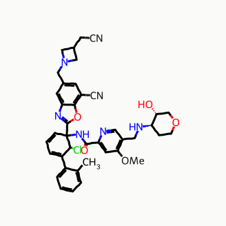 COc1cc(C(=O)NC2(c3nc4cc(CN5CC(CC#N)C5)cc(C#N)c4o3)C=CC=C(c3ccccc3C)C2Cl)ncc1CN[C@@H]1CCOC[C@H]1O